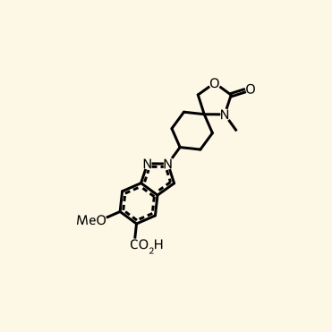 COc1cc2nn(C3CCC4(CC3)COC(=O)N4C)cc2cc1C(=O)O